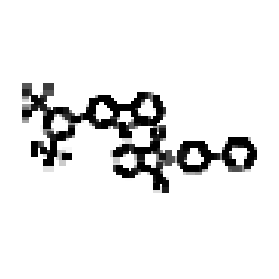 O=C1c2cccc(-n3c4ccccc4c4ccc(-c5cc(C(F)(F)F)cc(C(F)(F)F)c5)cc43)c2C(=O)N1c1ccc(-c2ccccc2)cc1